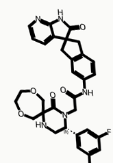 O=C(CN1C(=O)C2(COCCOC2)NC[C@H]1c1cc(F)cc(F)c1)Nc1ccc2c(c1)CC1(C2)C(=O)Nc2ncccc21